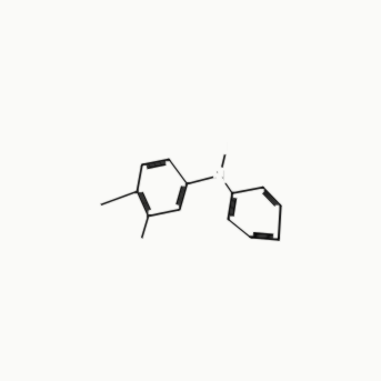 Cc1ccc(N(I)c2ccccc2)cc1C